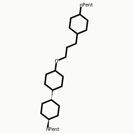 CCCCCC1CCC(CCCOC2CCC([C@H]3CC[C@H](CCCCC)CC3)CC2)CC1